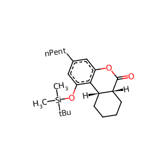 CCCCCc1cc2c(c(O[Si](C)(C)C(C)(C)C)c1)[C@H]1CCCC[C@H]1C(=O)O2